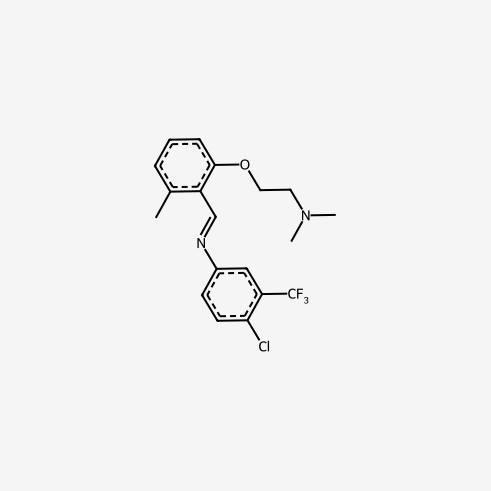 Cc1cccc(OCCN(C)C)c1/C=N/c1ccc(Cl)c(C(F)(F)F)c1